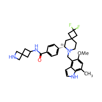 COc1cc(C)c2[nH]ccc2c1CN1CCC2(C[C@H]1c1ccc(C(=O)NC3CC4(CNC4)C3)cc1)CC(F)(F)C2